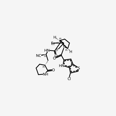 N#C[C@H](C[C@H]1CCCNC1=O)NC(=O)[C@H]1[C@H]2CC[C@H](CC2(F)F)N1C(=O)c1cc2scc(Cl)c2[nH]1